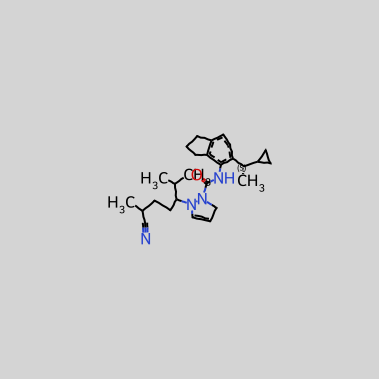 CC(C#N)CCC(C(C)C)N1C=CCN1C(=O)Nc1c([C@@H](C)C2CC2)ccc2c1CCC2